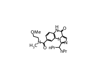 CCCC(CCC)c1ncc2c(=O)[nH]c3ccc(C(=O)N(C)CCOC)cc3n12